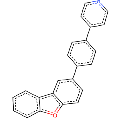 c1ccc2c(c1)oc1ccc(-c3ccc(-c4ccncc4)cc3)cc12